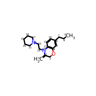 C=C1COc2cc(CCC)ccc2N1CCN1CCCCC1